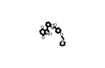 O=C(Nc1ccccc1-c1c[nH]c2c1C(=O)C=CC2=O)c1ccc(OCCN2CCCCC2)cc1